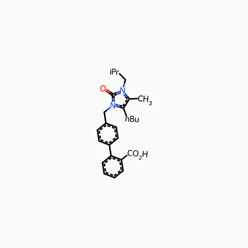 CCCCc1c(C)n(CC(C)C)c(=O)n1Cc1ccc(-c2ccccc2C(=O)O)cc1